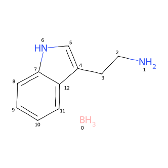 B.NCCc1c[nH]c2ccccc12